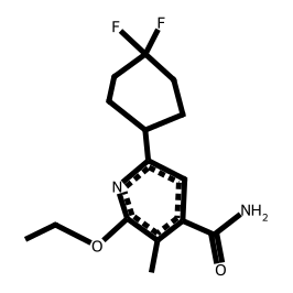 CCOc1nc(C2CCC(F)(F)CC2)cc(C(N)=O)c1C